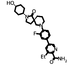 CCc1cc(-c2ccc(N3CCC[C@]4(CCN([C@H]5CC[C@@H](O)CC5)C4=O)C3)c(F)c2)cnc1C(N)=O